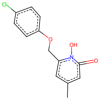 Cc1cc(COc2ccc(Cl)cc2)n(O)c(=O)c1